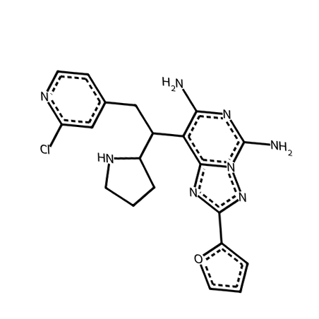 Nc1nc(N)n2nc(-c3ccco3)nc2c1C(Cc1ccnc(Cl)c1)C1CCCN1